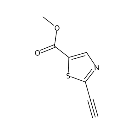 C#Cc1ncc(C(=O)OC)s1